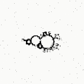 C[C@@H]1[C@@H](C)C[C@H](N(C)C)CC(=O)[C@@H]2CC[C@H]2CN2CCCCc3cc(Cl)ccc3COc3ccc(cc32)C(=O)NS1(=O)=O